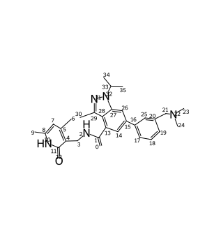 C=C(NCc1c(C)cc(C)[nH]c1=O)c1cc(-c2cccc(CN(C)C)c2)cc2c1c(C)nn2C(C)C